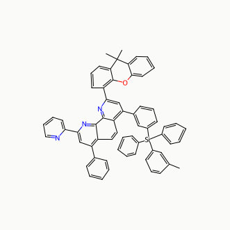 Cc1cccc([Si](c2ccccc2)(c2ccccc2)c2cccc(-c3cc(-c4cccc5c4Oc4ccccc4C5(C)C)nc4c3ccc3c(-c5ccccc5)cc(-c5ccccn5)nc34)c2)c1